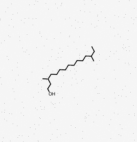 CCC(C)CCCCCCCCCC(C)CCO